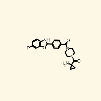 NC1(C(=O)N2CCN(C(=O)c3ccc(C4Nc5ccc(F)cc5O4)cc3)CC2)CC1